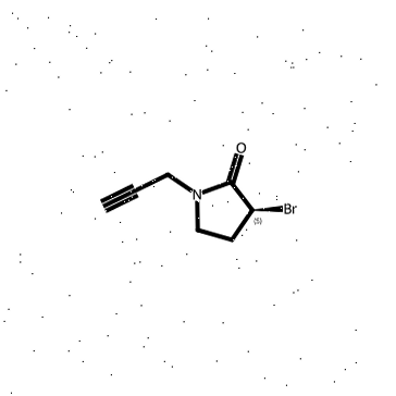 C#CCN1CC[C@H](Br)C1=O